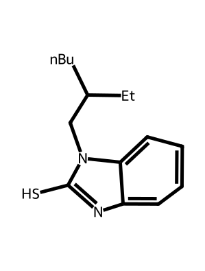 CCCCC(CC)Cn1c(S)nc2ccccc21